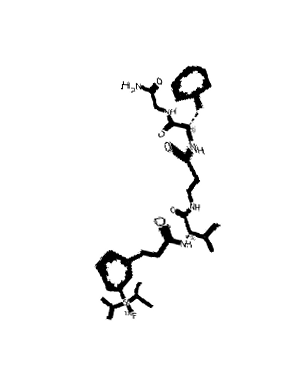 CC(C)[C@H](NC(=O)CCc1cccc([Si]([18F])(C(C)C)C(C)C)c1)C(=O)NCCC(=O)N[C@@H](Cc1ccccc1)C(=O)NCC(N)=O